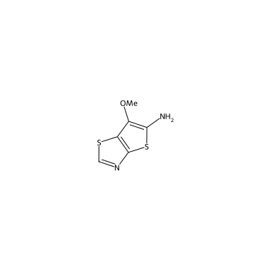 COc1c(N)sc2ncsc12